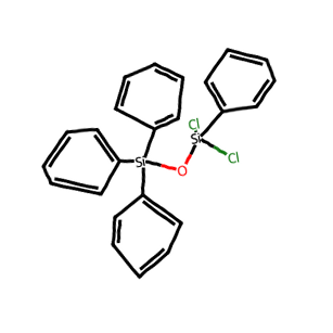 Cl[Si](Cl)(O[Si](c1ccccc1)(c1ccccc1)c1ccccc1)c1ccccc1